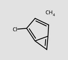 C.Clc1ccc2cc1-2